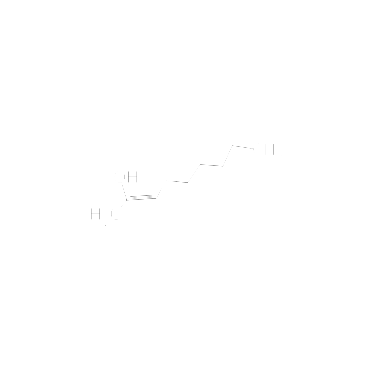 [CH2]C(O)=CSCCCCC